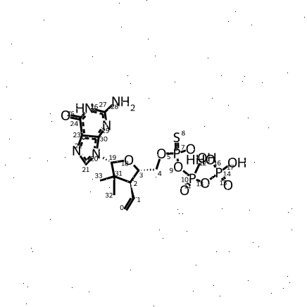 C=C[C@@H]1[C@@H](COP(O)(=S)OP(=O)(O)OP(=O)(O)O)O[C@@H](n2cnc3c(=O)[nH]c(N)nc32)C1(C)C